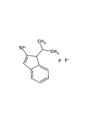 CC(C)C1[C]([Ti+2])=Cc2ccccc21.[F-].[F-]